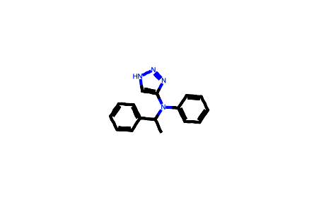 C[C](c1ccccc1)N(c1ccccc1)c1c[nH]nn1